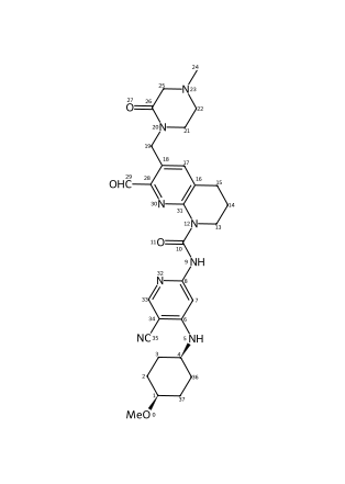 CO[C@H]1CC[C@@H](Nc2cc(NC(=O)N3CCCc4cc(CN5CCN(C)CC5=O)c(C=O)nc43)ncc2C#N)CC1